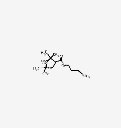 CC1(C)CC(C(=O)NCCCN)C(C)(C)N1